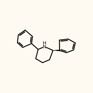 c1ccc(C2CCC[C@H](c3ccccc3)N2)cc1